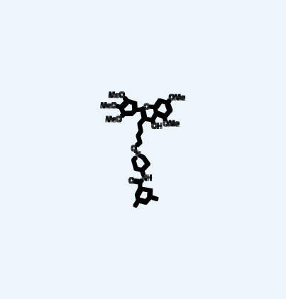 COc1cc(OC)c2c(c1)OC(c1cc(OC)c(OC)c(OC)c1)=C(CCCCON1CCC(NC(=O)c3cc(C)cc(C)c3)CC1)C2O